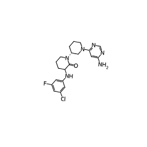 Nc1cc(N2CCC[C@@H](N3CCCC(Nc4cc(F)cc(Cl)c4)C3=O)C2)ncn1